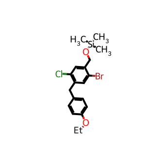 CCOc1ccc(Cc2cc(Br)c(CO[Si](C)(C)C)cc2Cl)cc1